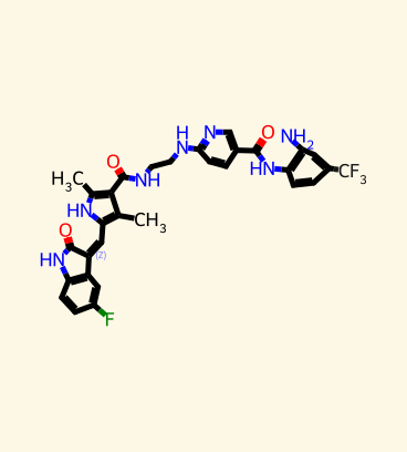 Cc1[nH]c(/C=C2\C(=O)Nc3ccc(F)cc32)c(C)c1C(=O)NCCNc1ccc(C(=O)Nc2ccc(C(F)(F)F)cc2N)cn1